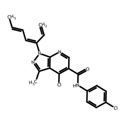 C=C/C(=C\C=C\C)n1nc(C)c2c(Cl)c(C(=O)Nc3ccc(Cl)cc3)cnc21